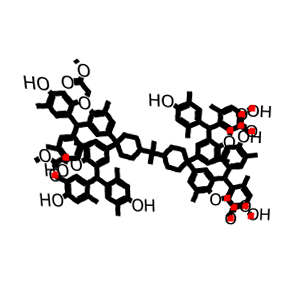 COC(=O)COc1c(C)cc(C2(c3cc(C)c(OCC(=O)OC)c(C(c4cc(C)c(O)cc4C)c4cc(C)c(O)cc4C)c3)CCC(C(C)(C)C3CCC(c4cc(C)c(OCC(=O)OC)c(C(c5cc(C)c(O)cc5C)c5cc(C)c(O)cc5C)c4)(c4cc(C)c(OCC(=O)OC)c(C(c5cc(C)c(O)cc5C)c5cc(C)c(O)cc5C)c4)CC3)CC2)cc1C(c1cc(C)c(O)cc1C)c1cc(C)c(O)cc1C